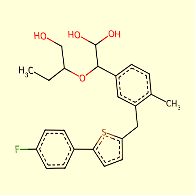 CCC(CO)OC(c1ccc(C)c(Cc2ccc(-c3ccc(F)cc3)s2)c1)C(O)O